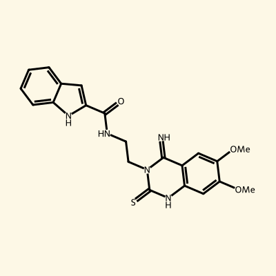 COc1cc2[nH]c(=S)n(CCNC(=O)c3cc4ccccc4[nH]3)c(=N)c2cc1OC